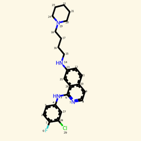 Fc1ccc(Nc2nccc3ccc(NCCCCN4CCCCC4)cc23)cc1Cl